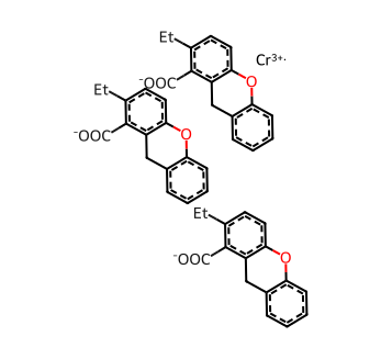 CCc1ccc2c(c1C(=O)[O-])Cc1ccccc1O2.CCc1ccc2c(c1C(=O)[O-])Cc1ccccc1O2.CCc1ccc2c(c1C(=O)[O-])Cc1ccccc1O2.[Cr+3]